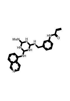 C=CC(=O)Nc1cccc(CNC2NC(NC)NC(Nc3cccc4cnccc34)N2)c1